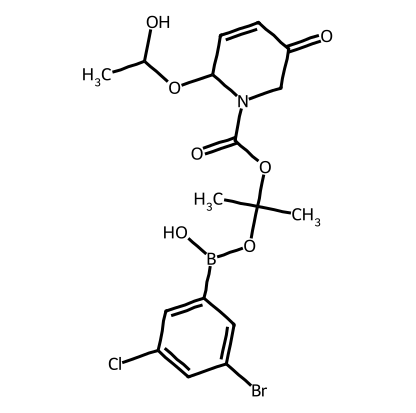 CC(O)OC1C=CC(=O)CN1C(=O)OC(C)(C)OB(O)c1cc(Cl)cc(Br)c1